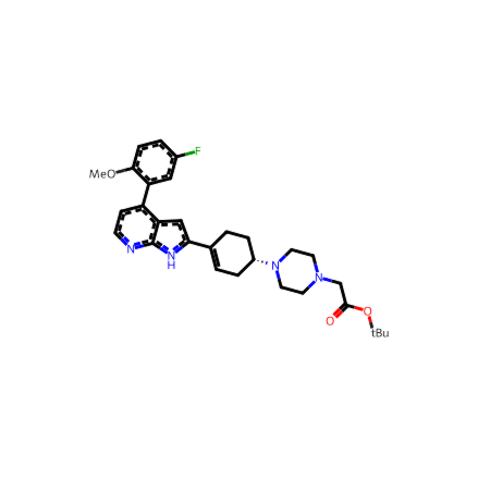 COc1ccc(F)cc1-c1ccnc2[nH]c(C3=CC[C@@H](N4CCN(CC(=O)OC(C)(C)C)CC4)CC3)cc12